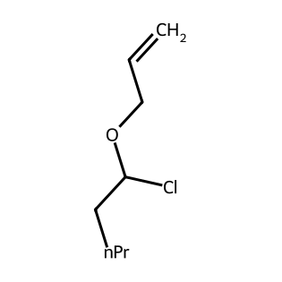 C=CCOC(Cl)CCCC